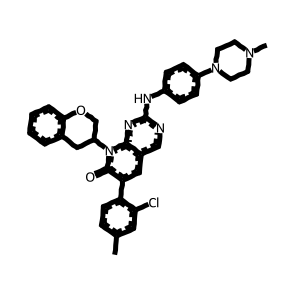 Cc1ccc(-c2cc3cnc(Nc4ccc(N5CCN(C)CC5)cc4)nc3n(C3COc4ccccc4C3)c2=O)c(Cl)c1